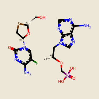 C[C@H](Cn1cnc2c(N)ncnc21)OCP(=O)(O)O.Nc1nc(=O)n([C@@H]2CS[C@H](CO)O2)cc1F